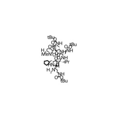 CNC(=O)[C@@H](NC(=O)[C@H](CCNC(=O)OC(C)(C)C)NC(=O)[C@H](CCNC(=O)OC(C)(C)C)NC(=O)[C@H](CC(C)C)NC(=O)[C@@H](Cc1ccccc1)NC(=O)[C@@H](N)CCNC(=O)OC(C)(C)C)[C@@H](C)O